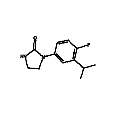 CC(C)c1cc(N2CCNC2=O)ccc1F